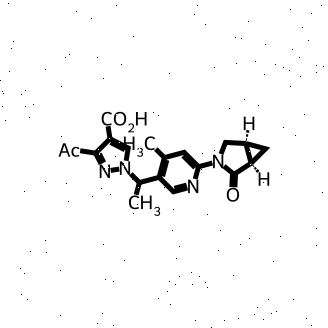 CC(=O)c1nn(C(C)c2cnc(N3C[C@H]4C[C@H]4C3=O)cc2C)cc1C(=O)O